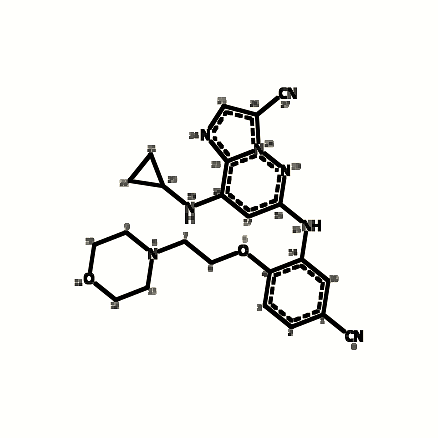 N#Cc1ccc(OCCN2CCOCC2)c(Nc2cc(NC3CC3)c3ncc(C#N)n3n2)c1